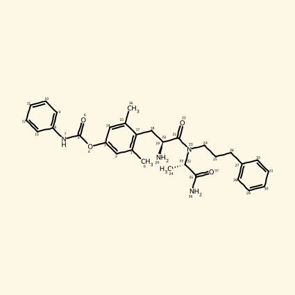 Cc1cc(OC(=O)Nc2ccccc2)cc(C)c1C[C@H](N)C(=O)N(CCCc1ccccc1)[C@@H](C)C(N)=O